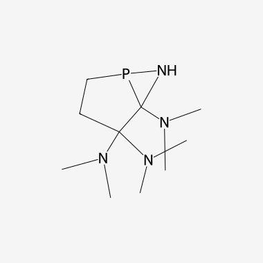 CN(C)C1(N(C)C)CCP2NC21N(C)C